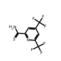 NC(=S)c1cc(C(F)(F)F)cc(C(F)(F)F)n1